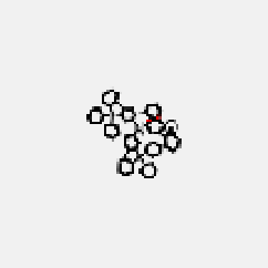 c1ccc(-c2cc3c(cc2N(c2ccc4c(c2)C(c2ccccc2)(c2ccccc2)c2ccccc2-4)c2ccc4oc5ccccc5c4c2)C(c2ccccc2)(c2ccccc2)c2ccccc2-3)cc1